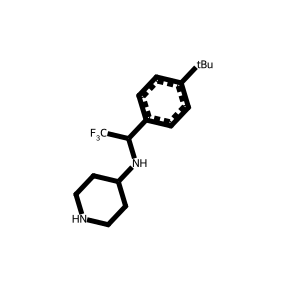 CC(C)(C)c1ccc(C(NC2CCNCC2)C(F)(F)F)cc1